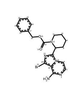 Nc1nccn2c(C3CCCCN3C(=O)OCc3ccccc3)nc(Br)c12